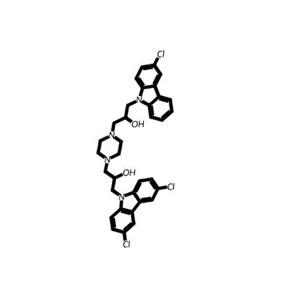 OC(CN1CCN(CC(O)Cn2c3ccc(Cl)cc3c3cc(Cl)ccc32)CC1)Cn1c2ccccc2c2cc(Cl)ccc21